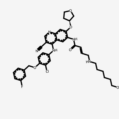 N#Cc1cnc2cc(O[C@H]3CCOC3)c(NC(=O)/C=C/CNCCCCCCO)cc2c1Nc1ccc(OCc2cccc(F)c2)c(Cl)c1